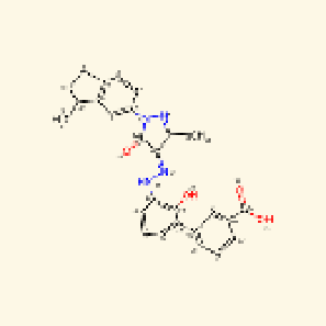 CC1=NN(c2ccc3c(c2)C(C)CC3)C(=O)C1=NNc1cccc(-c2cccc(C(=O)O)c2)c1O